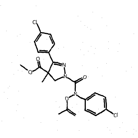 C=C(C)ON(C(=O)N1CC(C)(C(=O)OC)C(c2ccc(Cl)cc2)=N1)c1ccc(Cl)cc1